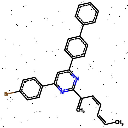 C=C(/C=C\C=C/C)c1nc(-c2ccc(Br)cc2)cc(-c2ccc(-c3ccccc3)cc2)n1